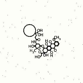 COc1cccc2c1C(=O)c1c(O)c3c(c(O)c1C2=O)C[C@@](O)(C(=O)CO)C[C@@H]3O[C@H]1CC(NC(=O)CCC2(C(O)O)CCCCCCCCCCCCCC2)[C@H](O)C(C)O1